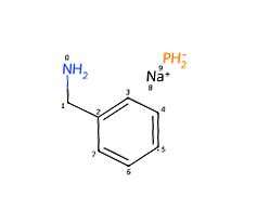 NCc1cc[c]cc1.[Na+].[PH2-]